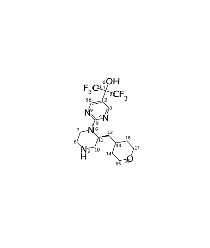 OC(c1cnc(N2CCNC[C@@H]2CC2CCOCC2)nc1)(C(F)(F)F)C(F)(F)F